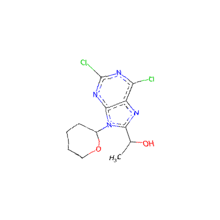 CC(O)c1nc2c(Cl)nc(Cl)nc2n1C1CCCCO1